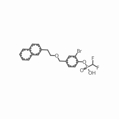 O=P(O)(Oc1ccc(COCCc2ccc3ccccc3c2)cc1Br)C(F)F